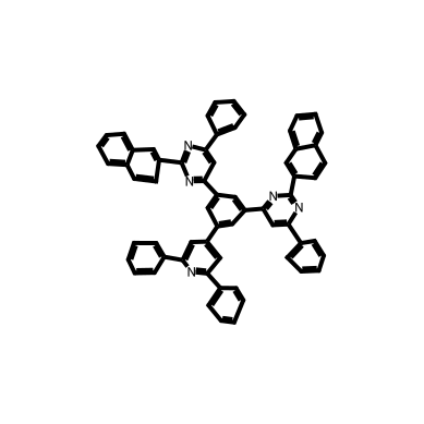 c1ccc(-c2cc(-c3cc(-c4cc(-c5ccccc5)nc(-c5ccc6ccccc6c5)n4)cc(-c4cc(-c5ccccc5)nc(-c5ccc6ccccc6c5)n4)c3)cc(-c3ccccc3)n2)cc1